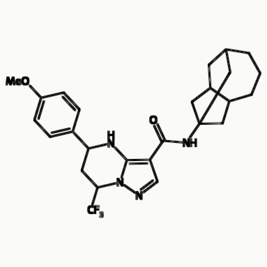 COc1ccc(C2CC(C(F)(F)F)n3ncc(C(=O)NC45CC6CCCC(C4)C(C6)C5)c3N2)cc1